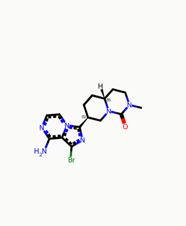 CN1CC[C@H]2CC[C@H](c3nc(Br)c4c(N)nccn34)CN2C1=O